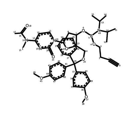 C#CCCOB(OC1CC(n2ccc(N(I)C(C)=O)nc2=O)OC1COC(c1ccccc1)(c1ccc(OC)cc1)c1ccc(OC)cc1)N(C(C)C)C(C)C